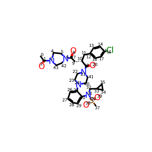 CC(=O)N1CCN(C(=O)C[C@H](Cc2ccc(Cl)cc2)C(=O)N2CCN(c3ccccc3N(CC3CC3)S(C)(=O)=O)CC2)CC1